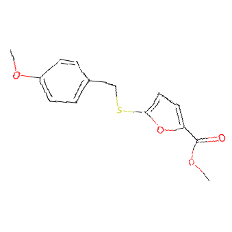 COC(=O)c1ccc(SCc2ccc(OC)cc2)o1